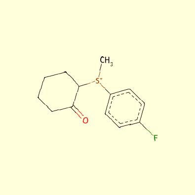 C[S+](c1ccc(F)cc1)C1CCCCC1=O